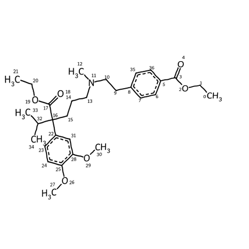 CCOC(=O)c1ccc(CCN(C)CCCC(C(=O)OCC)(c2ccc(OC)c(OC)c2)C(C)C)cc1